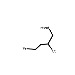 CCCCCCC(CC)CCC(C)C